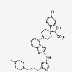 CN1CCN(CCCn2cc(Nc3nc4c(N5CCC(c6ccc(Cl)cc6)(C(O)C(=O)O)CC5)cccn4n3)cn2)CC1